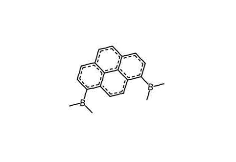 CB(C)c1ccc2ccc3ccc(B(C)C)c4ccc1c2c34